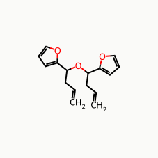 C=CCC(OC(CC=C)c1ccco1)c1ccco1